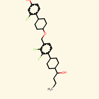 CCCC(O)C1CCC(c2ccc(COC3CCC(c4ccc(O)cc4F)CC3)c(F)c2F)CC1